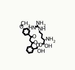 COc1ccc(C(=O)CC(=O)c2ccccc2C(=O)O)cc1.N=C(N)NCCC[C@H](N)C(=O)O